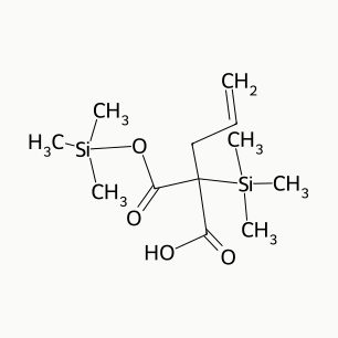 C=CCC(C(=O)O)(C(=O)O[Si](C)(C)C)[Si](C)(C)C